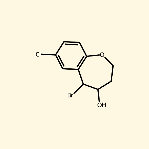 OC1CCOc2ccc(Cl)cc2C1Br